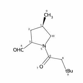 C[C@@H]1CC(C=O)N(C(=O)CC(C)(C)C)C1